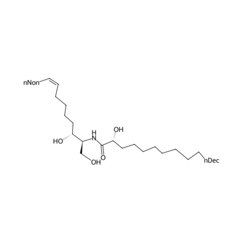 CCCCCCCCC/C=C\CCCC[C@@H](O)[C@H](CO)NC(=O)[C@H](O)CCCCCCCCCCCCCCCCCC